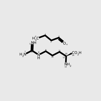 CCCC=O.N=C(N)NCCC[C@H](N)C(=O)O